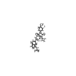 O=C1N(c2ccc(C(F)(F)F)nc2)C(=O)C2(CCN(c3cnc4cnn(CC(F)F)c4n3)CC2)N1C1CCC1